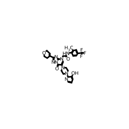 Cc1cc(C(F)(F)F)ccc1NC(=O)Cn1cc(N2CCN(c3ncccc3O)CC2)c(=O)n2nc(C3=CCOCC3)nc12